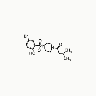 CC(C)=CC(=O)N1CCN(S(=O)(=O)c2cc(Br)ccc2O)CC1